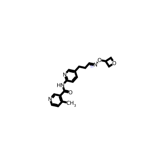 Cc1ccncc1C(=O)Nc1ccc(CC/C=N/OC2COC2)cn1